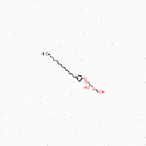 CCCCCCCCCCCCCCCc1ccc(OOCC(O)COCCO)cc1